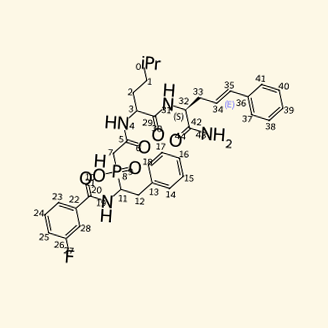 CC(C)CCC(NC(=O)CP(=O)(O)C(Cc1ccccc1)NC(=O)c1cccc(F)c1)C(=O)N[C@@H](C/C=C/c1ccccc1)C(N)=O